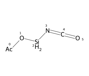 CC(=O)O[SiH2]N=C=O